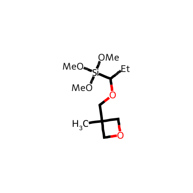 CCC(OCC1(C)COC1)[Si](OC)(OC)OC